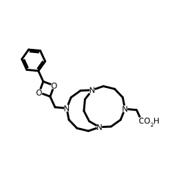 O=C(O)CN1CCCN2CCCN(CCCN(CC3OC(c4ccccc4)O3)CC2)CC1